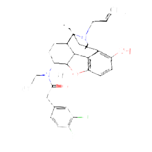 C=CCN1CC[C@@]23c4c5ccc(O)c4C[C@@H]1[C@@H]2CC[C@H](N(CC(C)C)C(=O)Cc1ccc(Cl)c(Cl)c1)[C@@H]3O5